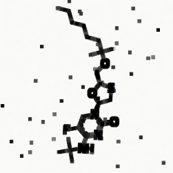 CCCCCCC(C)(C)OC[C@@H]1O[C@H](n2cc(F)c(NC(C)(C)C)nc2=O)CS1